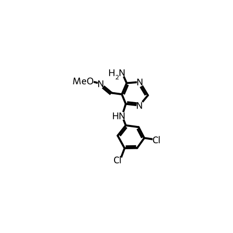 CO/N=C/c1c(N)ncnc1Nc1cc(Cl)cc(Cl)c1